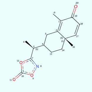 CC1=C2CC([C@H](C)c3noc(=O)o3)CC[C@@]2(C)C=CC1=O